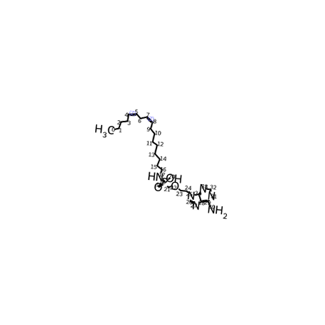 CCCC/C=C\C/C=C\CCCCCCCCNP(=O)(O)COCCn1cnc2c(N)ncnc21